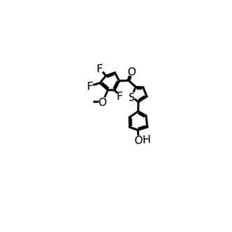 COc1c(F)c(F)cc(C(=O)c2ccc(-c3ccc(O)cc3)s2)c1F